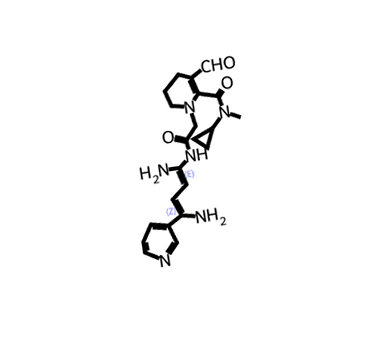 CN(C(=O)C1=C(C=O)CCCN1CC(=O)N/C(N)=C/C=C(\N)c1cccnc1)C1CC1